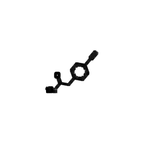 C#Cc1ccc(CC(=O)C(C)(C)C)cc1